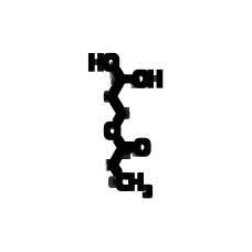 CCC(=O)OCCC(O)O